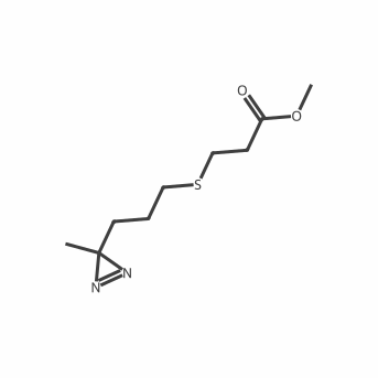 COC(=O)CCSCCCC1(C)N=N1